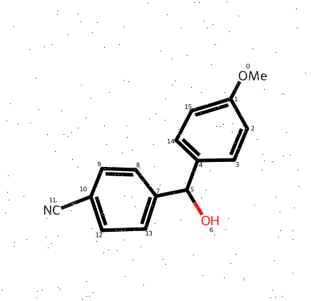 COc1ccc(C(O)c2ccc(C#N)cc2)cc1